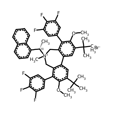 COc1c(C(C)(C)C)cc2c(c1-c1cc(F)c(F)c(F)c1)C[N+](C)([C@@H](C)c1cccc3ccccc13)Cc1c-2cc(C(C)(C)C)c(OC)c1-c1cc(F)c(F)c(F)c1.[Br-]